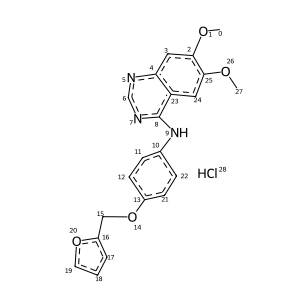 COc1cc2ncnc(Nc3ccc(OCc4ccco4)cc3)c2cc1OC.Cl